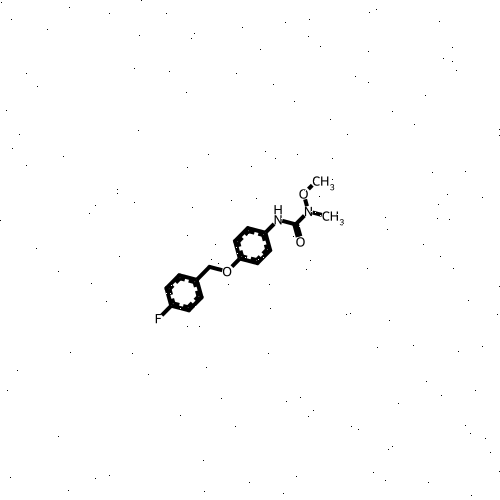 CON(C)C(=O)Nc1ccc(OCc2ccc(F)cc2)cc1